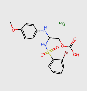 COc1ccc(NC(COC(=O)O)NS(=O)(=O)c2ccccc2Br)cc1.Cl